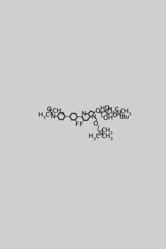 CC(C)(C)[Si](C)(C)OC1CO[C@H]2[C@@H]1OC[C@H]2Oc1cc2nc(-c3ccc(-c4ccc(N=S(C)(C)=O)cc4)cc3F)c(F)cc2n1COCC[Si](C)(C)C